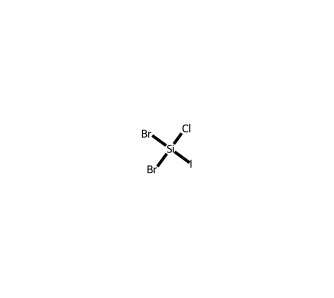 Cl[Si](Br)(Br)I